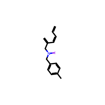 C=C/C=C\C(=C)CN(I)Cc1ccc(C)cc1